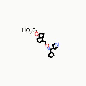 O=C(O)COc1cccc2c1CCC=C2CCON=C(c1ccccc1)c1ccncc1